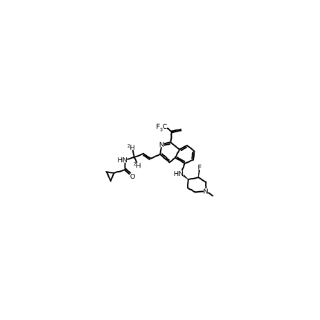 [2H]C([2H])(/C=C/c1cc2c(N[C@@H]3CCN(C)C[C@@H]3F)cccc2c(C(=C)C(F)(F)F)n1)NC(=O)C1CC1